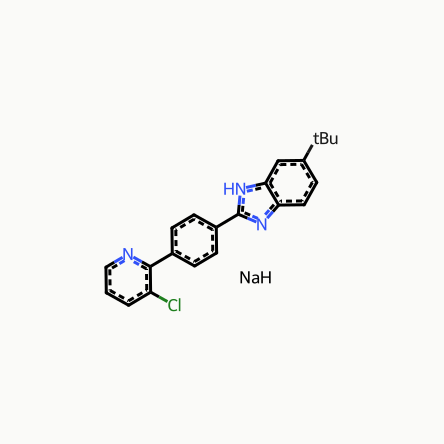 CC(C)(C)c1ccc2nc(-c3ccc(-c4ncccc4Cl)cc3)[nH]c2c1.[NaH]